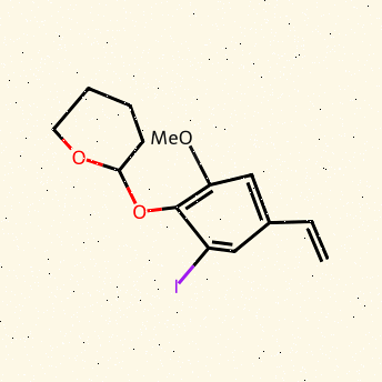 C=Cc1cc(I)c(OC2CCCCO2)c(OC)c1